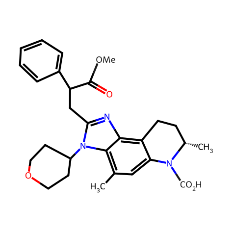 COC(=O)C(Cc1nc2c3c(cc(C)c2n1C1CCOCC1)N(C(=O)O)[C@@H](C)CC3)c1ccccc1